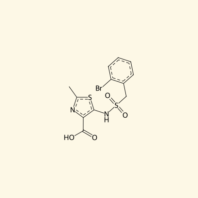 Cc1nc(C(=O)O)c(NS(=O)(=O)Cc2ccccc2Br)s1